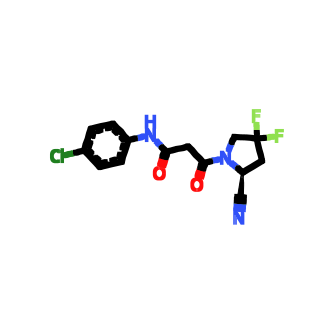 N#C[C@@H]1CC(F)(F)CN1C(=O)CC(=O)Nc1ccc(Cl)cc1